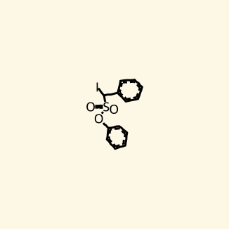 O=S(=O)(Oc1ccccc1)C(I)c1ccccc1